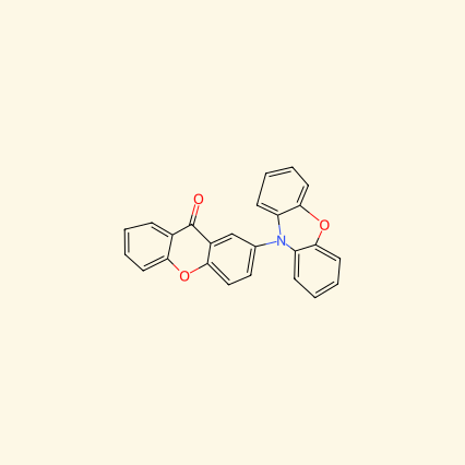 O=c1c2ccccc2oc2ccc(N3c4ccccc4Oc4ccccc43)cc12